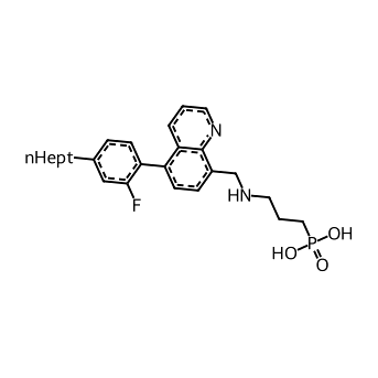 CCCCCCCc1ccc(-c2ccc(CNCCCP(=O)(O)O)c3ncccc23)c(F)c1